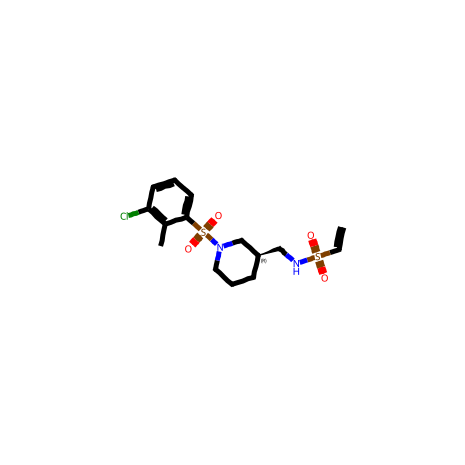 C=CS(=O)(=O)NC[C@H]1CCCN(S(=O)(=O)c2cccc(Cl)c2C)C1